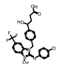 Cn1/c(=N/c2ccc(Cl)cc2)n(Cc2ccc(C(O)CCC(=O)O)cc2)c2cc(C(F)(F)F)ccc21